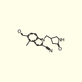 Cc1c(C=O)ccc2c1cc(C#N)n2CC1CNC(=O)C1